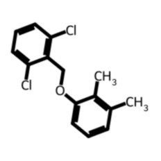 Cc1cccc(OCc2c(Cl)cccc2Cl)c1C